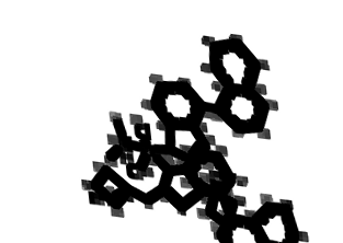 CCCC1(CC2=Cc3c(-c4cccc5ccccc45)cccc3[CH]2[Zr]([Cl])([Cl])([CH]2C(CC3(CCC)CCC3)=Cc3c(-c4cccc5ccccc45)cccc32)[SiH](C)C)CCC1